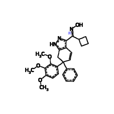 COc1ccc(C2(c3ccccc3)C=Cc3c(/C(=N/O)C4CCC4)n[nH]c3C2)c(OC)c1OC